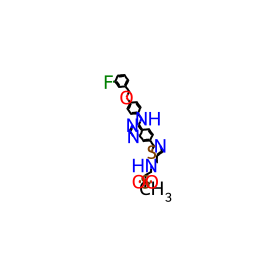 CS(=O)(=O)CCNCc1cnc(-c2ccc3c(Nc4ccc(OCc5cccc(F)c5)cc4)ncnc3c2)s1